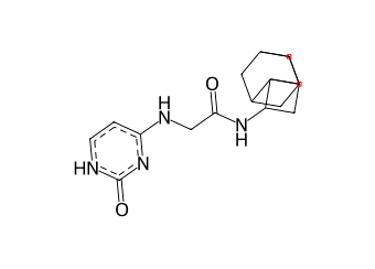 O=C(CNc1cc[nH]c(=O)n1)NC1CC2CC3CC4CC(C3)C421